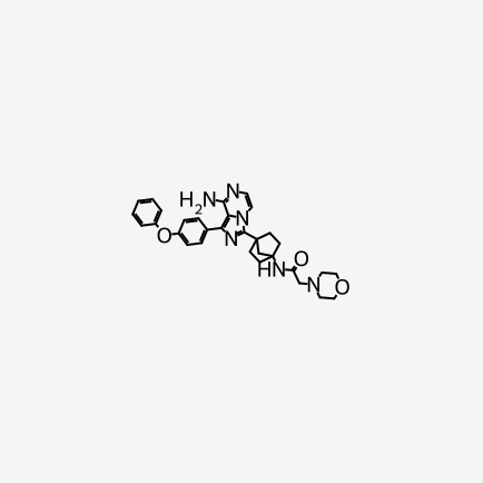 Nc1nccn2c(C34CCC(NC(=O)CN5CCOCC5)(CC3)C4)nc(-c3ccc(Oc4ccccc4)cc3)c12